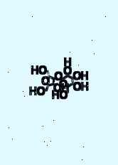 OC[C@@H]1O[C@@H](O[C@H]2[C@H](O)[C@@H](CO)O[C@@H]2CO)[C@H](O)[C@@H](O)[C@@H]1O